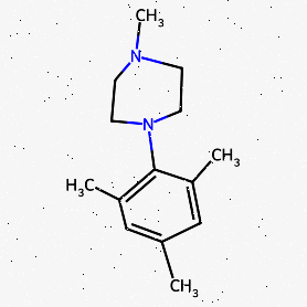 Cc1cc(C)c(N2CCN(C)CC2)c(C)c1